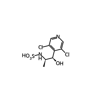 C[C@@H](NS(=O)(=O)O)[C@H](O)c1c(Cl)cncc1Cl